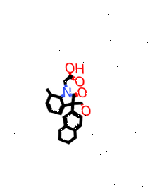 CC1C=CC=C2C1N(CC(=O)O)C(=O)C21COc2cc3c(cc21)CCCC3